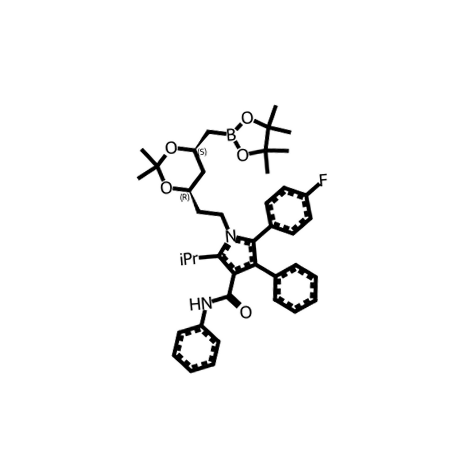 CC(C)c1c(C(=O)Nc2ccccc2)c(-c2ccccc2)c(-c2ccc(F)cc2)n1CC[C@@H]1C[C@H](CB2OC(C)(C)C(C)(C)O2)OC(C)(C)O1